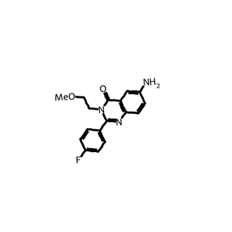 COCCn1c(-c2ccc(F)cc2)nc2ccc(N)cc2c1=O